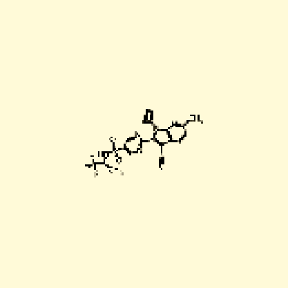 Cc1ccc2c(C#N)c(-c3ncc(S(=O)(=O)N[C@@H](C)C(F)(F)F)cn3)n(C3=CC=C3)c2n1